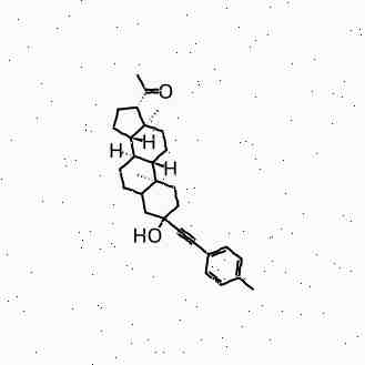 CC(=O)[C@H]1CC[C@H]2[C@@H]3CCC4CC(O)(C#Cc5ccc(C)cc5)CC[C@]4(C)[C@H]3CC[C@]12C